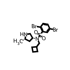 C[C@H]1C[C@@H](N(CC2CCC2)S(=O)(=O)c2cc(Br)ccc2Br)CN1